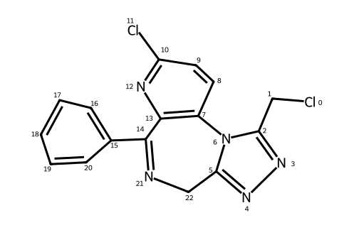 ClCc1nnc2n1-c1ccc(Cl)nc1C(c1ccccc1)=NC2